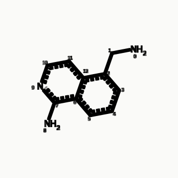 NCc1cccc2c(N)nccc12